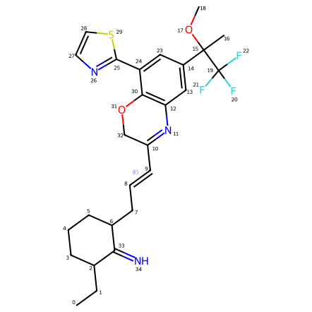 CCC1CCCC(C/C=C/C2=Nc3cc(C(C)(OC)C(F)(F)F)cc(-c4nccs4)c3OC2)C1=N